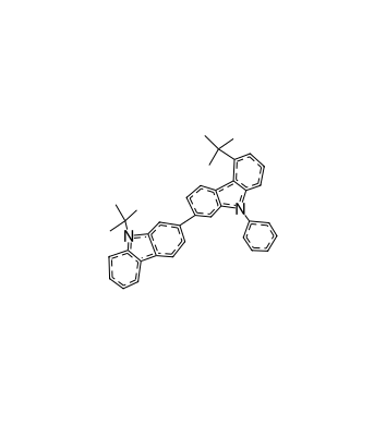 CC(C)(C)c1cccc2c1c1ccc(-c3ccc4c5ccccc5n(C(C)(C)C)c4c3)cc1n2-c1ccccc1